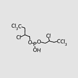 OP(OCC(Cl)CC(Cl)(Cl)Cl)OCC(Cl)CC(Cl)(Cl)Cl